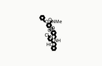 CNC(=O)c1cc(S(=O)(=O)c2ccc(CCNC(Cc3ccccc3)[C@H](O)c3ccc(Cl)nc3)cc2)ccc1OCc1ccccc1